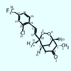 C[C@@H]1C(=O)C[C@H]2C[C@@H]1OO[C@@]2(C)C=Cc1ccc(C(F)(F)F)cc1Cl